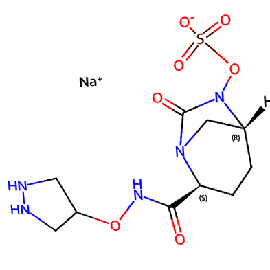 O=C(NOC1CNNC1)[C@@H]1CC[C@@H]2CN1C(=O)N2OS(=O)(=O)[O-].[Na+]